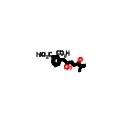 C=C(C)C(=O)CCC(O)Cc1cccc(C(=O)O)c1C(=O)O